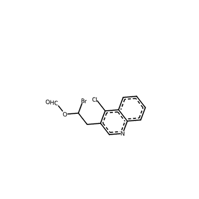 O=COC(Br)Cc1cnc2ccccc2c1Cl